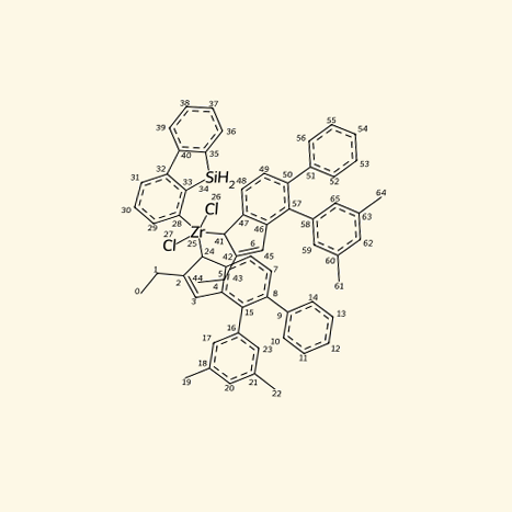 CCC1=Cc2c(ccc(-c3ccccc3)c2-c2cc(C)cc(C)c2)[CH]1[Zr]([Cl])([Cl])([c]1cccc2c1[SiH2]c1ccccc1-2)[CH]1C(CC)=Cc2c1ccc(-c1ccccc1)c2-c1cc(C)cc(C)c1